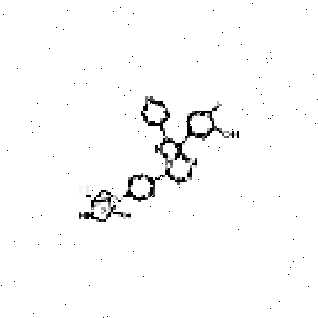 Oc1cc(-c2c(-c3ccncc3)nn3c(-c4ccc(N5C[C@@H]6C[C@H]5CN6)cc4)ccnc23)ccc1F